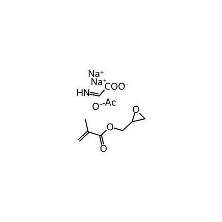 C=C(C)C(=O)OCC1CO1.CC(=O)[O-].N=CC(=O)[O-].[Na+].[Na+]